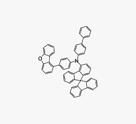 c1ccc(-c2ccc(N(c3ccc(-c4cccc5oc6ccccc6c45)cc3)c3cccc4c3-c3ccccc3C43c4ccccc4-c4ccccc43)cc2)cc1